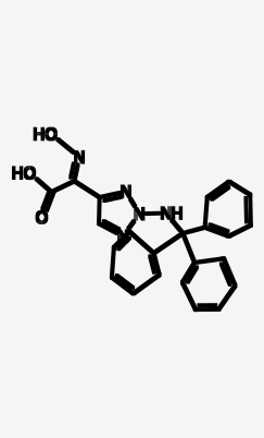 O=C(O)C(=NO)c1cnn(NC(c2ccccc2)(c2ccccc2)c2ccccc2)n1